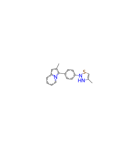 CC1=CSN(c2ccc(-c3c(C)cc4ccccn34)cc2)N1